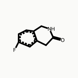 O=C1Cc2cc(F)ccc2CN1